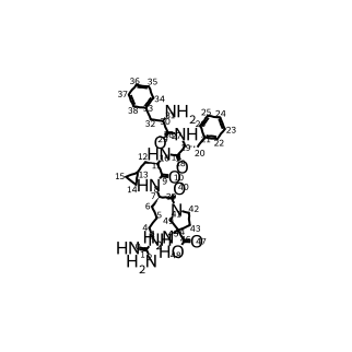 N=C(N)NCCC[C@@H](NC(=O)[C@@H](CC1CC1)NC(=O)[C@@H](Cc1ccccc1)NC(=O)[C@H](N)Cc1ccccc1)C(=O)N1CCC(N)(C(=O)O)C1